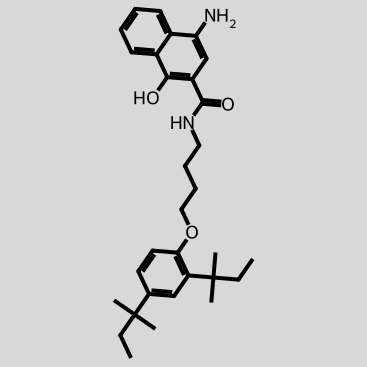 CCC(C)(C)c1ccc(OCCCCNC(=O)c2cc(N)c3ccccc3c2O)c(C(C)(C)CC)c1